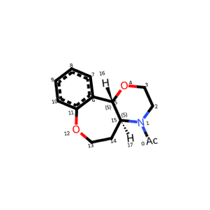 CC(=O)N1CCO[C@H]2c3ccccc3OCC[C@@H]21